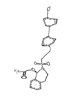 NC(=O)O[C@@H]1c2ccccc2CCN1S(=O)(=O)CCc1ccc(-c2ccc(Cl)cc2)cc1